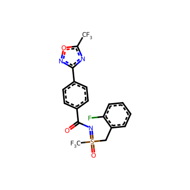 O=C(N=S(=O)(Cc1ccccc1F)C(F)(F)F)c1ccc(-c2noc(C(F)(F)F)n2)cc1